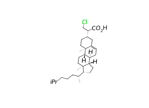 CC(C)CCC[C@@H](C)[C@H]1CC[C@H]2[C@@H]3CC=C4C[C@@H](C(CCl)C(=O)O)CC[C@]4(C)[C@H]3CC[C@]12C